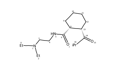 CCN(CC)CCNC(=O)[C@@H]1CCCC[C@@H]1C(=O)C(C)C